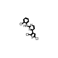 Clc1cc(-c2ccnc(Nc3ccccc3Cl)n2)c(Cl)s1